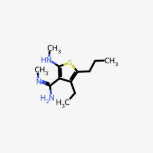 CCCc1sc(NC)c(/C(N)=N\C)c1CC